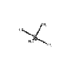 CCCCCCCCCCCCO[Si](OCCCCCCCCCCCC)(OCCCCCCCCCCCC)OC(N)CC